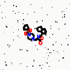 O=C1OC(c2cccc3ccccc23)=NC1=CN1CCCN(S(=O)(=O)c2ccccc2)CC1